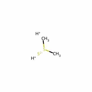 CSC.[H+].[H+].[S-2]